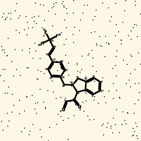 O=CC(=O)C1c2ccccc2CN1Cc1ccc(C=CC(F)(F)F)cc1